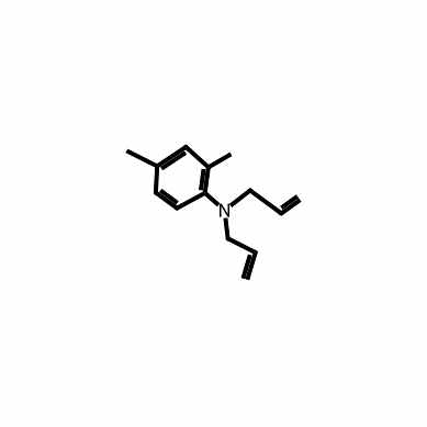 C=CCN(CC=C)c1ccc(C)cc1C